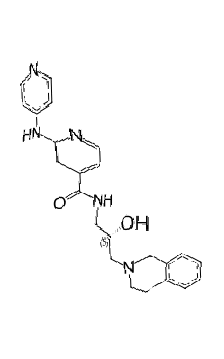 O=C(NC[C@H](O)CN1CCc2ccccc2C1)C1=CC=NC(Nc2ccncc2)C1